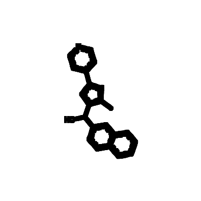 Cc1sc(-c2ccncc2)cc1C(O)c1ccc2ccccc2c1